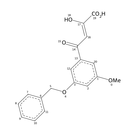 COc1cc(OCc2ccccc2)cc(C(=O)C=C(O)C(=O)O)c1